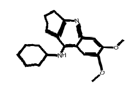 COc1cc2nc3c(c(NC4CCCCC4)c2cc1OC)CCC3